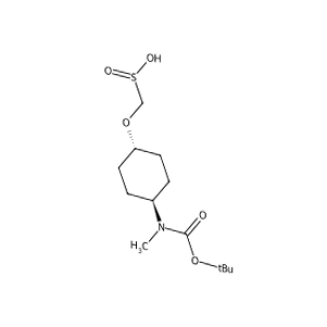 CN(C(=O)OC(C)(C)C)[C@H]1CC[C@H](OCS(=O)O)CC1